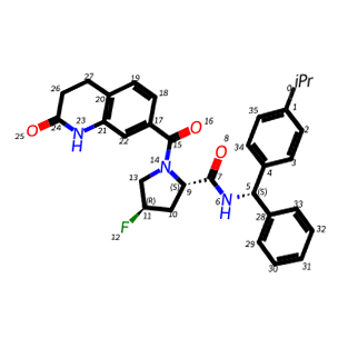 CC(C)c1ccc([C@@H](NC(=O)[C@@H]2C[C@@H](F)CN2C(=O)c2ccc3c(c2)NC(=O)CC3)c2ccccc2)cc1